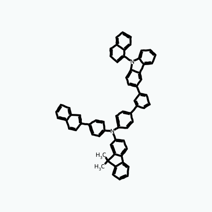 CC1(C)c2ccccc2-c2ccc(N(c3ccc(-c4cccc(-c5ccc6c(c5)c5ccccc5n6-c5cccc6ccccc56)c4)cc3)c3ccc(-c4ccc5ccccc5c4)cc3)cc21